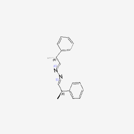 C[C@@H](/C=N/N=C/[C@H](C)c1ccccc1)c1ccccc1